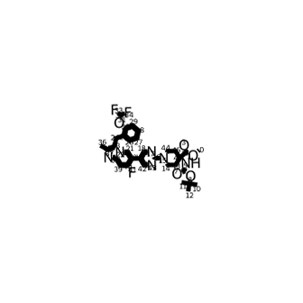 COC(=O)C1(NC(=O)OC(C)(C)C)CCN(c2ncc(-c3cn4c(Cc5ccccc5OC(F)F)c(C)nc4cc3F)cn2)CC1